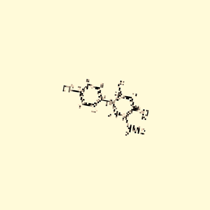 CNc1nn(-c2ccc(Cl)cc2)c(C)cc1=O